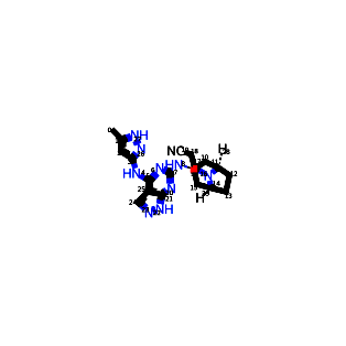 Cc1cc(Nc2nc(N[C@@H]3C[C@H]4CC[C@@H](C3)N4CCC#N)nc3[nH]ncc23)n[nH]1